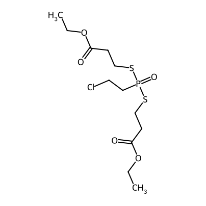 CCOC(=O)CCSP(=O)(CCCl)SCCC(=O)OCC